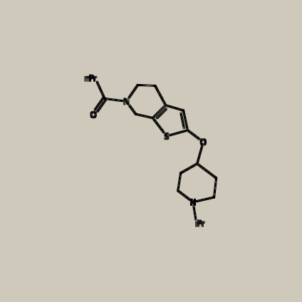 CCCC(=O)N1CCc2cc(OC3CCN(C(C)C)CC3)sc2C1